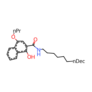 CCCCCCCCCCCCCCCCNC(=O)c1cc(OCCC)c2ccccc2c1O